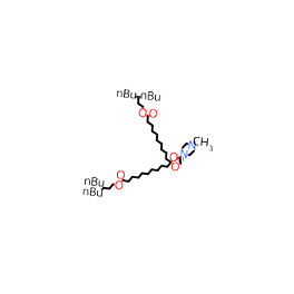 CCCCC(CCCC)CCOC(=O)CCCCCCCCCC1(CCCCCCCCCC(=O)OCCC(CCCC)CCCC)OC[C@@H](N2CCN(C)CC2)O1